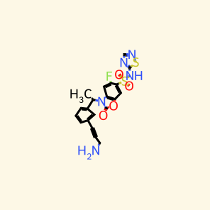 CC(c1cccc(C#CCN)c1)n1c(=O)oc2cc(S(=O)(=O)Nc3ncns3)c(F)cc21